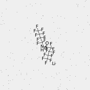 O=S(=O)(NC(F)(F)C(F)(F)C(F)(F)C(F)(F)F)C(F)(F)C(F)(F)C(F)(F)C(F)(F)F.[Li]